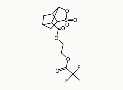 CC(F)(F)C(=O)OCCOC(=O)C1C2CC3C1OS(=O)(=O)C3C2